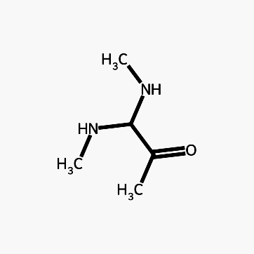 CNC(NC)C(C)=O